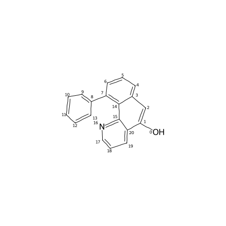 Oc1cc2cccc(-c3ccccc3)c2c2ncccc12